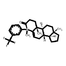 C[C@@]12CCC[C@H]1[C@@H]1CC=C3[C@](C)(CCC(=O)[N+]3(C)c3cccc(C(F)(F)F)c3)[C@H]1CC2